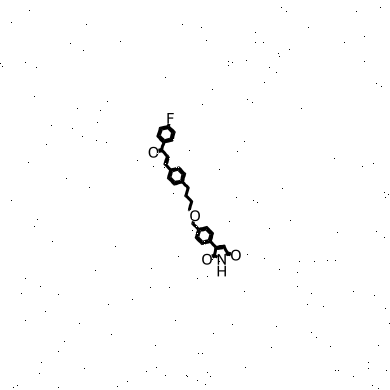 O=C1C=C(c2ccc(COCCCCc3ccc(C=CC(=O)c4ccc(F)cc4)cc3)cc2)C(=O)N1